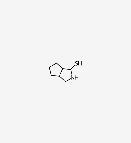 SC1NCC2CCCC21